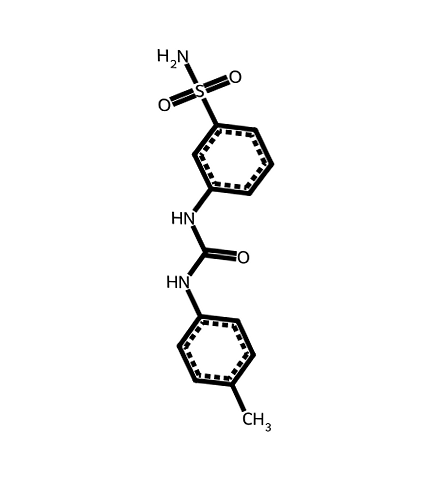 Cc1ccc(NC(=O)Nc2cccc(S(N)(=O)=O)c2)cc1